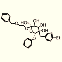 CCc1ccc(C[C@]2(O)[C@H](Oc3ccccc3)O[C@@](CO)(OCCOCc3ccccc3)[C@@H](O)[C@@H]2O)cc1